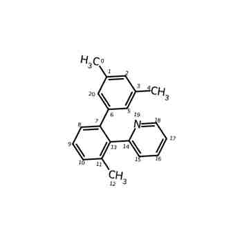 Cc1cc(C)cc(-c2cccc(C)c2-c2ccccn2)c1